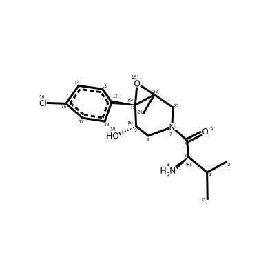 CC(C)[C@@H](N)C(=O)N1C[C@H](O)[C@]2(c3ccc(Cl)cc3)OC2(C)C1